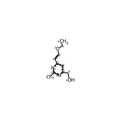 CCOC=Cc1cc(CO)nc(Cl)n1